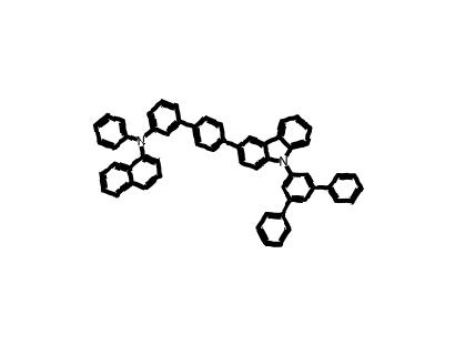 c1ccc(-c2cc(-c3ccccc3)cc(-n3c4ccccc4c4cc(-c5ccc(-c6cccc(N(c7ccccc7)c7cccc8ccccc78)c6)cc5)ccc43)c2)cc1